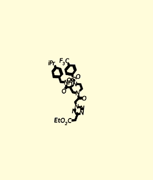 CCOC(=O)Cc1nnn(CC(=O)N2CCN(S(=O)(=O)c3ccc(C(F)(F)F)cc3)C(C(=O)NCc3ccc(C(C)C)cc3)C2)n1